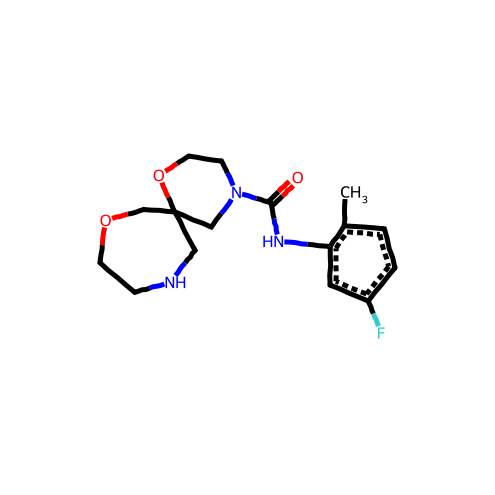 Cc1ccc(F)cc1NC(=O)N1CCOC2(CNCCOC2)C1